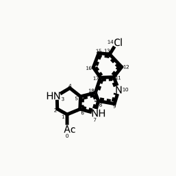 CC(=O)C1CNCc2c1[nH]c1cnc3cc(Cl)ccc3c21